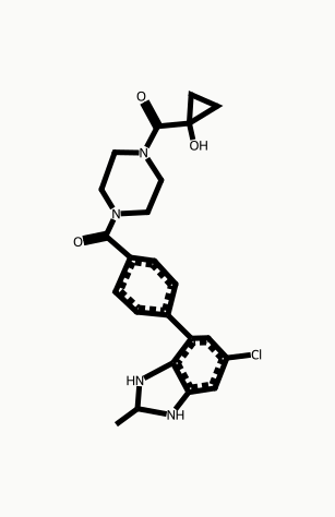 CC1Nc2cc(Cl)cc(-c3ccc(C(=O)N4CCN(C(=O)C5(O)CC5)CC4)cc3)c2N1